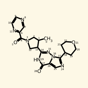 CC1CN(C(=O)c2cnccn2)CC1c1nn2c(C3CCOCC3)ncc2c(=O)[nH]1